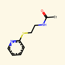 CCC(=O)NCCSc1ccccn1